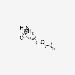 C1CO1.C=CCOCC=C.N.S